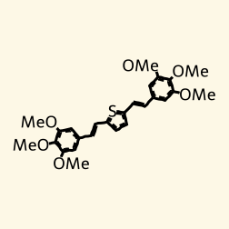 COc1cc(/C=C/c2ccc(/C=C/c3cc(OC)c(OC)c(OC)c3)s2)cc(OC)c1OC